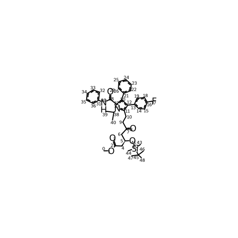 COC(=O)C[C@@H](CC(=O)CCc1c(-c2ccc(F)cc2)c(-c2ccccc2)c(C(=O)Nc2ccccc2)n1C(C)C)O[Si](C)(C)C(C)(C)C